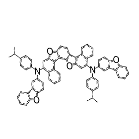 CC(C)c1ccc(N(c2ccc3oc4ccccc4c3c2)c2cc3oc4c(ccc5oc6cc(N(c7ccc(C(C)C)cc7)c7ccc8oc9ccccc9c8c7)c7ccccc7c6c54)c3c3ccccc23)cc1